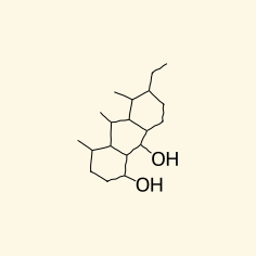 CCC1CCC2C(O)C3C(O)CCC(C)C3C(C)C2C1C